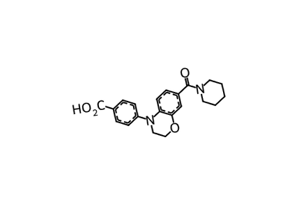 O=C(O)c1ccc(N2CCOc3cc(C(=O)N4CCCCC4)ccc32)cc1